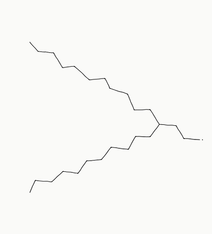 [CH2]CCC(CCCCCCCCCCC)CCCCCCCCCCC